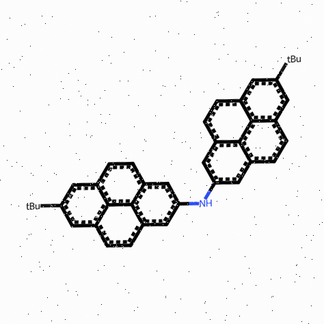 CC(C)(C)c1cc2ccc3cc(Nc4cc5ccc6cc(C(C)(C)C)cc7ccc(c4)c5c67)cc4ccc(c1)c2c34